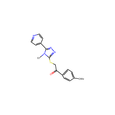 CCn1c(SCC(=O)c2ccc(OC)cc2)nnc1-c1ccncc1